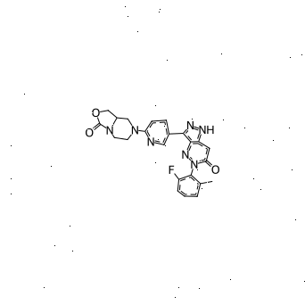 Cc1cccc(F)c1-n1nc2c(-c3ccc(N4CCN5C(=O)OCC5C4)nc3)n[nH]c2cc1=O